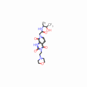 CC(C)C(NC(=O)Cn1ccc2c(=O)n(CCN3CCOCC3)c(=O)[nH]c2c1=O)C(O)C(F)(F)F